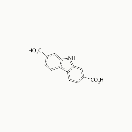 O=C(O)c1ccc2c(c1)[nH]c1cc(C(=O)O)ccc12